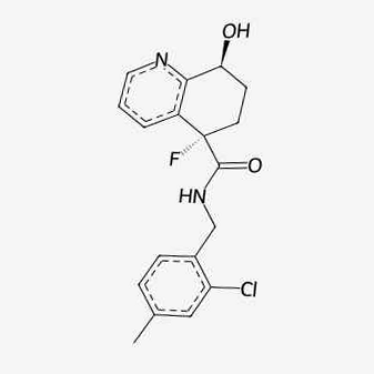 Cc1ccc(CNC(=O)[C@]2(F)CC[C@H](O)c3ncccc32)c(Cl)c1